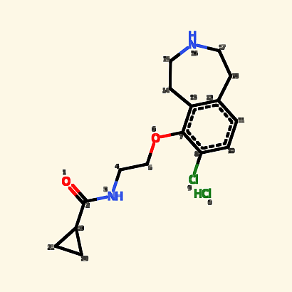 Cl.O=C(NCCOc1c(Cl)ccc2c1CCNCC2)C1CC1